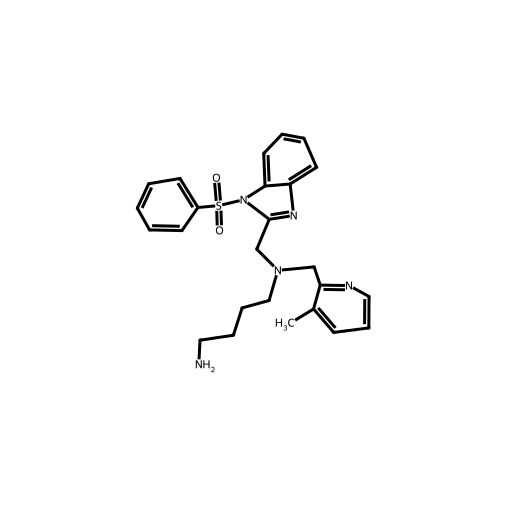 Cc1cccnc1CN(CCCCN)Cc1nc2ccccc2n1S(=O)(=O)c1ccccc1